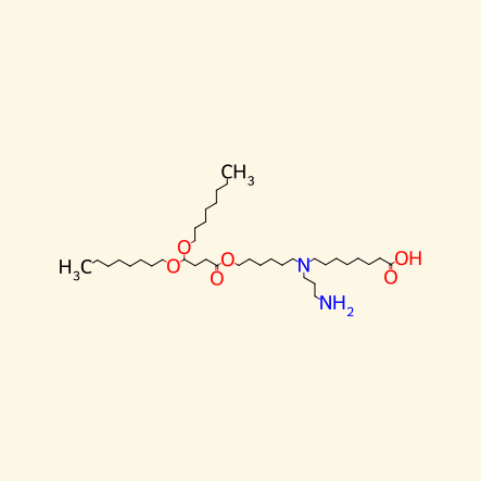 CCCCCCCCOC(CCC(=O)OCCCCCCN(CCCN)CCCCCCCC(=O)O)OCCCCCCCC